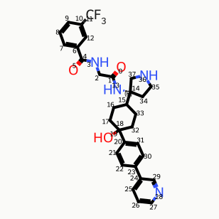 O=C(CNC(=O)c1cccc(C(F)(F)F)c1)N[C@@]1(C2CCC(O)(c3ccc(-c4cccnc4)cc3)CC2)CCNC1